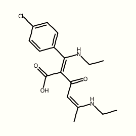 CCNC(C)=CC(=O)C(C(=O)O)=C(NCC)c1ccc(Cl)cc1